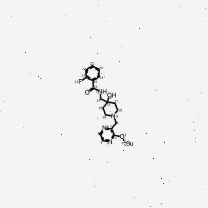 CC(C)(C)Oc1nccnc1CN1CCC(O)(CNC(=O)c2ccccc2F)CC1